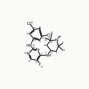 CN1C(C)(C)CC(Nc2nc(Nc3cc(Cl)cc(Cl)c3)ncc2F)CC1(C)C